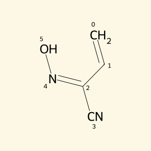 C=CC(C#N)=NO